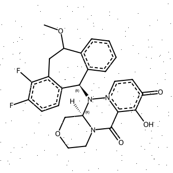 COC1Cc2c(ccc(F)c2F)[C@H](N2[C@@H]3COCCN3C(=O)c3c(O)c(=O)ccn32)c2ccccc21